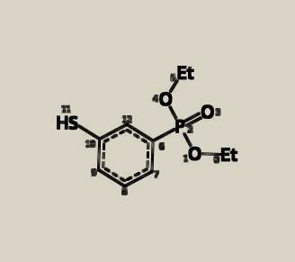 CCOP(=O)(OCC)c1cccc(S)c1